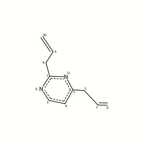 C=CCc1ccnc(CC=C)n1